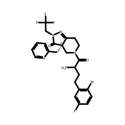 NC(CCc1cc(F)ccc1Br)C(=O)N1CCC2=NN(CC(F)(F)F)C(=O)[C@]2(Cc2ccccn2)C1